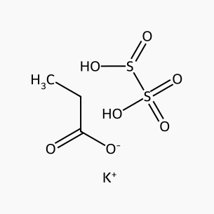 CCC(=O)[O-].O=S(O)S(=O)(=O)O.[K+]